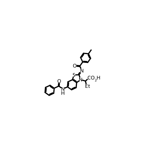 CCC(C(=O)O)n1c(=NC(=O)c2ccc(C)cc2)sc2cc(NC(=O)c3ccccc3)ccc21